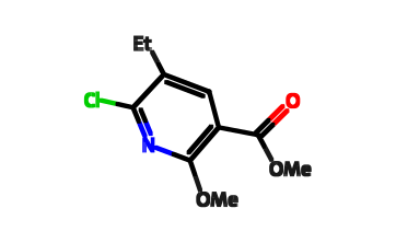 CCc1cc(C(=O)OC)c(OC)nc1Cl